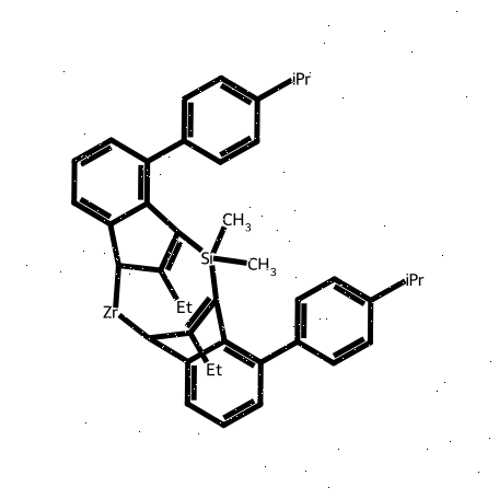 CCC1=C2c3c(-c4ccc(C(C)C)cc4)cccc3[CH]1[Zr][CH]1C(CC)=C(c3c(-c4ccc(C(C)C)cc4)cccc31)[Si]2(C)C